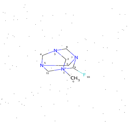 C[N+]12CN3CN(CN(C3)C1F)C2